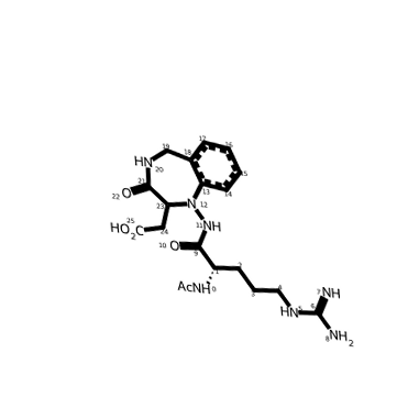 CC(=O)N[C@@H](CCCNC(=N)N)C(=O)NN1c2ccccc2CNC(=O)C1CC(=O)O